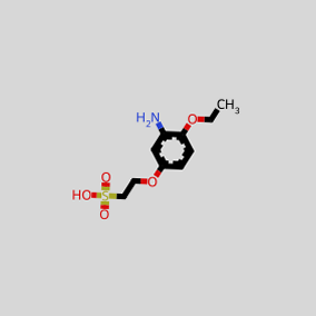 CCOc1ccc(OCCS(=O)(=O)O)cc1N